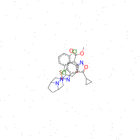 COC(=O)c1ccc2nc(N3C4CCC3CN(CCc3c(-c5c(Cl)cccc5Cl)noc3C3CC3)C4)sc2c1